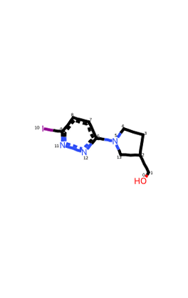 OCC1CCN(c2ccc(I)nn2)C1